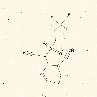 C#CC1CCC=CC1C(C#N)S(=O)(=O)CCC(F)(F)F